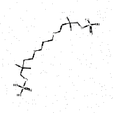 CC(C)(CCOCCCOCCC(C)(C)COP(=O)(O)O)COP(=O)(O)O